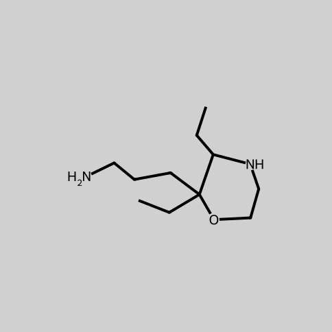 CCC1NCCOC1(CC)CCCN